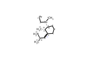 CC(C)CN(C)[C@@H]1CCC/C(=C/N(C)N)[C@@H]1C